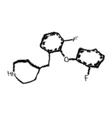 Fc1ccccc1Oc1c(F)cccc1CC1CCNCC1